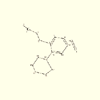 C=O.CCCCc1ccccc1C1CCCCC1